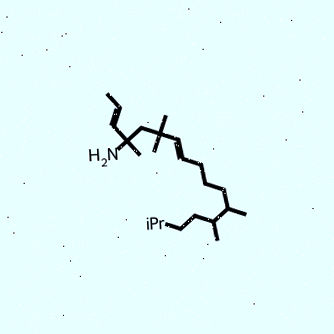 C/C=C/C(C)(N)CC(C)(C)/C=C/CCCC(C)C(C)CCC(C)C